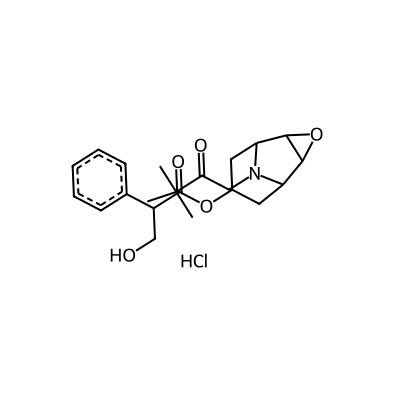 CC(C)(C)C(=O)CN1C2CC(OC(=O)C(CO)c3ccccc3)CC1C1OC12.Cl